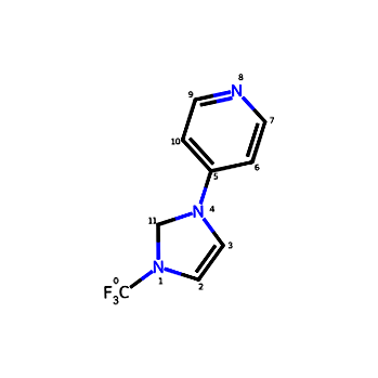 FC(F)(F)N1C=CN(c2ccncc2)C1